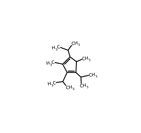 C[C]1C(C(C)C)=C(C)C(C(C)C)=C1C(C)C